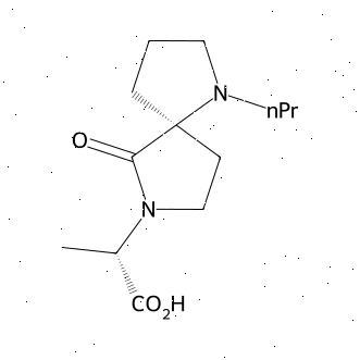 CCCN1CCC[C@@]12CCN([C@@H](C)C(=O)O)C2=O